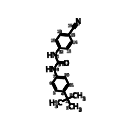 CC(C)(C)c1ccc(NC(=O)Nc2ccc(C#N)cc2)cc1